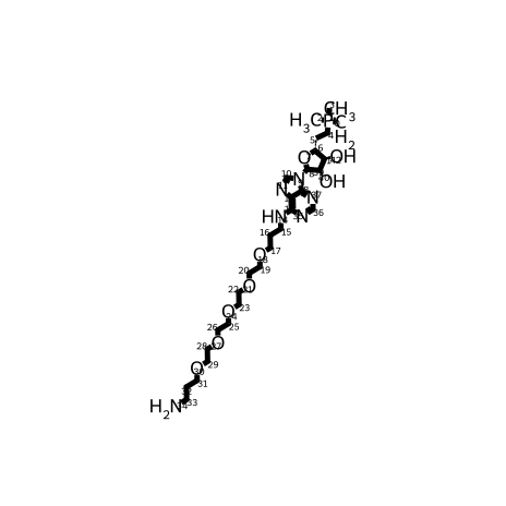 C=P(C)(C)CC[C@H]1OC(n2cnc3c(NCCCOCCOCCOCCOCCOCCCN)ncnc32)[C@H](O)[C@@H]1O